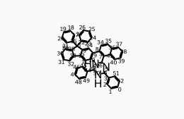 c1ccc(C2=NC(c3c(-c4ccc5c(c4)C(c4ccccc4)(c4ccccc4)c4ccccc4-5)ccc4ccccc34)NC(c3ccccc3)N2)cc1